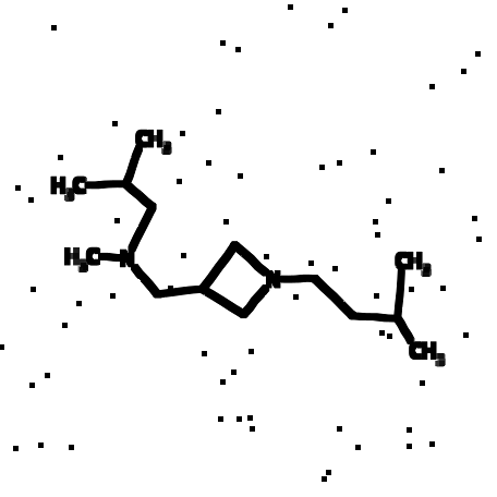 CC(C)CCN1CC(CN(C)CC(C)C)C1